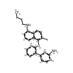 Cc1ccc2c(NCCCC(F)(F)F)cccc2c1Oc1ncccc1-c1ccnc(N)n1